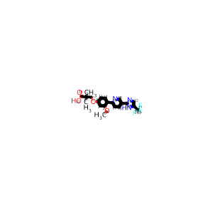 COc1cc(OCC(C)(C)C(=O)O)ccc1-c1ccc(-c2ncc(C(F)(F)F)[nH]2)cn1